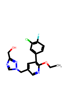 CCOc1ncc(Cn2cnc(CO)n2)cc1-c1ccc(F)c(Cl)c1